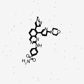 Cn1cc(-c2ccc3cnc(Nc4ccc(S(N)(=O)=O)cc4)nc3c2-c2ccc(N3CCOCC3)nc2)cn1